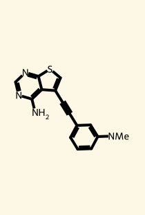 CNc1cccc(C#Cc2csc3ncnc(N)c23)c1